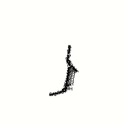 COCCOCCOCCOc1ccc(C(O)OC(CPC)CC(O)CC(O)CC(O)CC(O)CC(O)CC(O)CC2CC(CC(O)CC(C)O)OC(c3ccc(OCCOCCOCCOC)cc3)O2)cc1